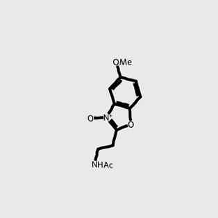 COc1ccc2oc(CCNC(C)=O)[n+]([O-])c2c1